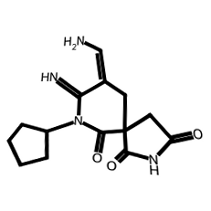 N=C1/C(=C\N)CC2(CC(=O)NC2=O)C(=O)N1C1CCCC1